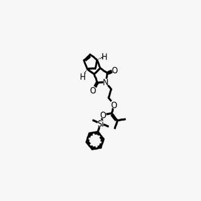 CC(C)=C(OCCN1C(=O)C2C(C1=O)[C@H]1C=C[C@@H]2C1)O[Si](C)(C)c1ccccc1